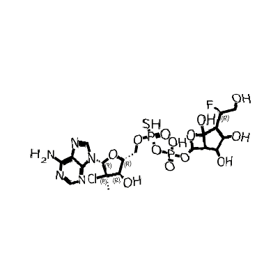 C[C@@]1(Cl)[C@H](O)[C@@H](COP(=O)(S)OP(=O)(O)OC2OC3(O)C2C(O)C(O)C3[C@@H](F)CO)O[C@H]1n1cnc2c(N)ncnc21